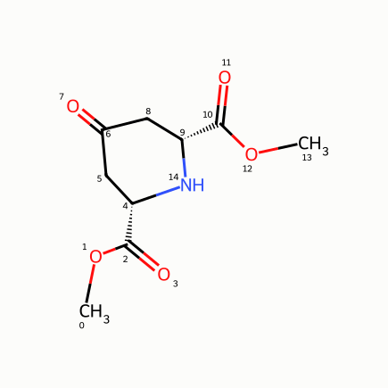 COC(=O)[C@@H]1CC(=O)C[C@H](C(=O)OC)N1